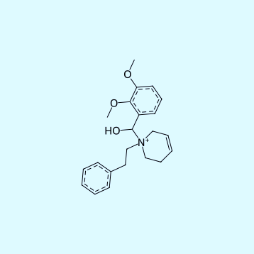 COc1cccc(C(O)[N+]2(CCc3ccccc3)CC=CCC2)c1OC